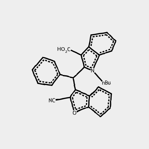 CCCCn1c(C(c2ccccc2)c2c(C#N)oc3ccccc23)c(C(=O)O)c2ccccc21